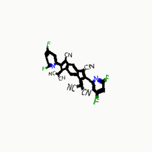 N#CC(C#N)=C1C(c2cc(F)cc(F)n2)=C(C#N)c2cc3c(cc21)C(=C(C#N)C#N)C(c1cc(F)cc(F)n1)=C3C#N